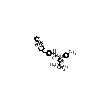 Cc1ccc(-n2nc(C(C)(C)C)cc2NC(=O)Nc2ccc(CC3CCN(S(=O)(=O)c4cccs4)CC3)cc2)cc1